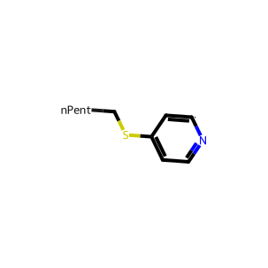 CCCCCCSc1c[c]ncc1